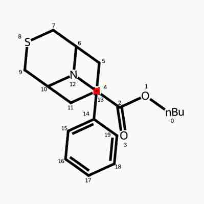 CCCCOC(=O)N1CC2CSCC(C1)N2Cc1ccccc1